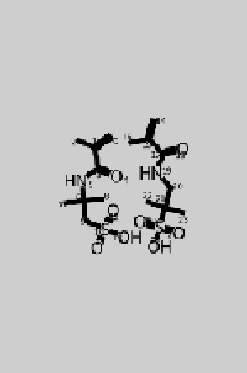 C=C(C)C(=O)NC(C)(C)CS(=O)(=O)O.C=C(C)C(=O)NCC(C)(C)S(=O)(=O)O